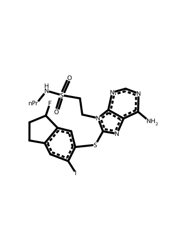 CCCNS(=O)(=O)CCn1c(Sc2cc3c(cc2I)CCC3F)nc2c(N)ncnc21